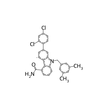 Cc1cc(C)cc(Cn2c3cc(-c4ccc(Cl)cc4Cl)c[c]c3c3c(C(N)=O)cccc32)c1